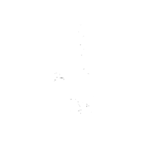 CCCCCCCCCCCCCCN(C)C(=NC)N(C)C.O=C(O)O